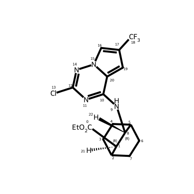 CCOC(=O)[C@@H]1C2CCC(CC2)[C@H]1Nc1nc(Cl)nn2cc(C(F)(F)F)cc12